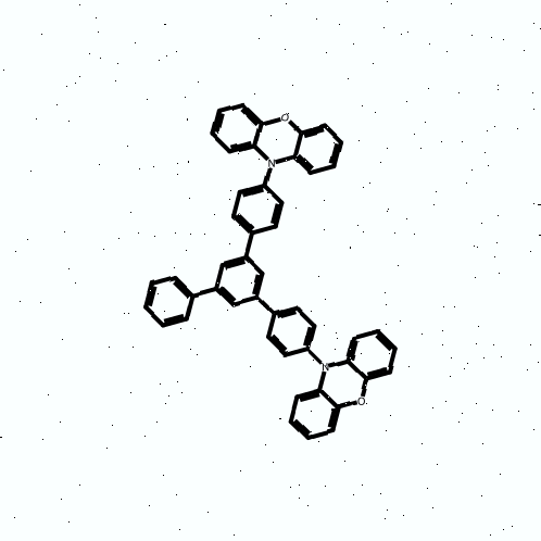 c1ccc(-c2cc(-c3ccc(N4c5ccccc5Oc5ccccc54)cc3)cc(-c3ccc(N4c5ccccc5Oc5ccccc54)cc3)c2)cc1